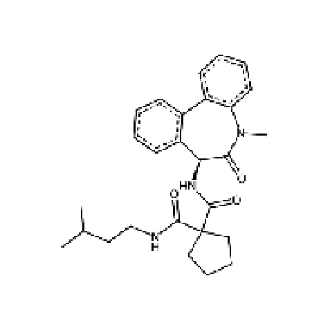 CC(C)CCNC(=O)C1(C(=O)N[C@@H]2C(=O)N(C)c3ccccc3-c3ccccc32)CCCC1